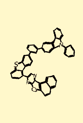 c1ccc(-n2c3ccccc3c3cc(-c4cccc(-c5ccc6c(c5)sc5cccc(-c7cnc8c(n7)oc7ccc9ccccc9c78)c56)c4)ccc32)cc1